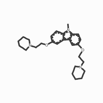 Cn1c2ccc(OCCN3CCCCC3)cc2c2cc(OCCN3CCCCC3)ccc21